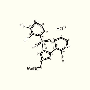 CNCc1cc(-c2cccnc2F)n(S(=O)(=O)c2cccc(F)c2F)c1.Cl